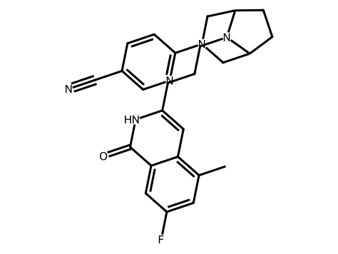 Cc1cc(F)cc2c(=O)[nH]c(CCCN3C4CCC3CN(c3ccc(C#N)cn3)C4)cc12